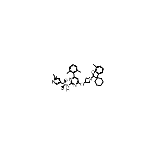 Cc1cccc(C2(C(=O)N3CC(Oc4cc(-c5c(C)cccc5C)nc(NS(=O)(=O)c5cnn(C)c5)n4)C3)CCCCC2)c1